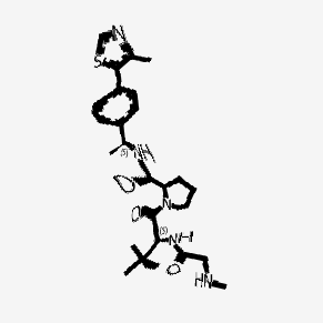 CNCC(=O)N[C@H](C(=O)N1CCCC1C(=O)N[C@@H](C)c1ccc(-c2scnc2C)cc1)C(C)(C)C